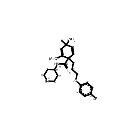 COC1=CC(C)(N)C=CC1(CCCOc1ccc(F)cc1)C(=O)NC1CCNCC1